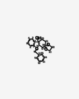 OC1(c2ccccc2OCc2ccccc2)CCC2(CC1)OCCO2